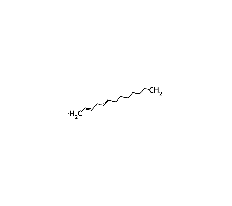 [CH2]C=CCC=CCCCCCC[CH2]